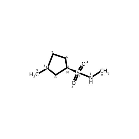 CNS(=O)(=O)[C@@H]1CCN(C)C1